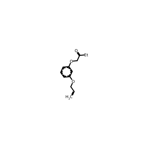 C=CCOc1cccc(OCC(=O)CC)c1